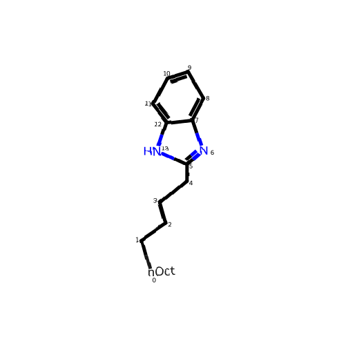 CCCCCCCCCCCCc1nc2ccccc2[nH]1